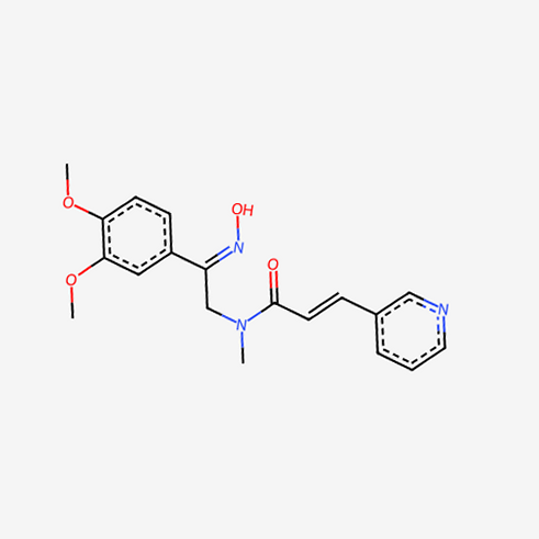 COc1ccc(C(CN(C)C(=O)C=Cc2cccnc2)=NO)cc1OC